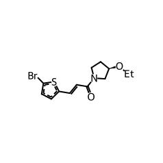 CCO[C@@H]1CCN(C(=O)/C=C/c2ccc(Br)s2)C1